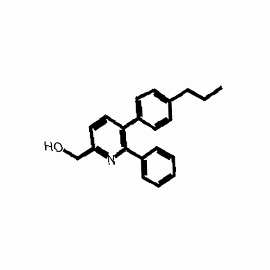 CCCc1ccc(-c2ccc(CO)nc2-c2ccccc2)cc1